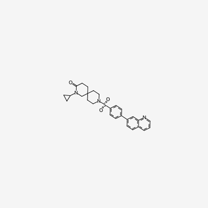 O=C1CCC2(CCN(S(=O)(=O)c3ccc(-c4ccc5cccnc5c4)cc3)CC2)CN1C1CC1